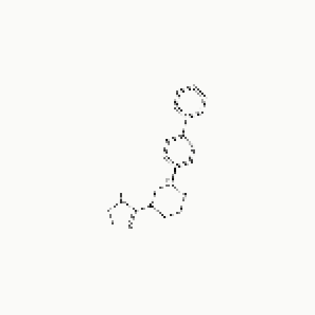 c1ccc(-c2ccc([C@@H]3CN(C4=NCCN4)CCO3)cc2)cc1